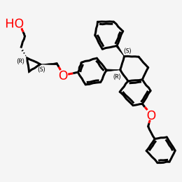 OCC[C@H]1C[C@@H]1COc1ccc([C@@H]2c3ccc(OCc4ccccc4)cc3CC[C@@H]2c2ccccc2)cc1